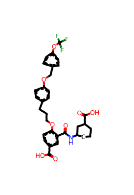 O=C(O)c1ccc(OCCCc2ccc(OCc3ccc(OC(F)(F)F)cc3)cc2)c(C(=O)NC2CCCC(C(=O)O)C2)c1